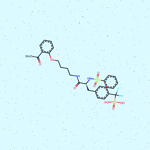 COC(=O)c1ccccc1OCCCCNC(=O)[C@H](Cc1ccc(C(F)(F)P(=O)(O)O)cc1)NS(=O)(=O)c1ccccc1